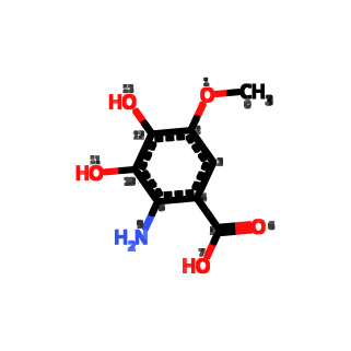 COc1cc(C(=O)O)c(N)c(O)c1O